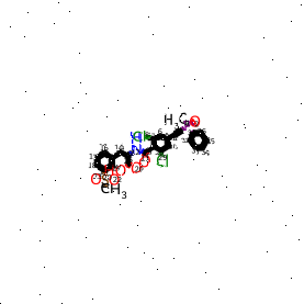 CP(=O)(C#Cc1cc(Cl)c(C(=O)NC(Cc2cccc(S(C)(=O)=O)c2)C(=O)O)c(Cl)c1)c1ccccc1